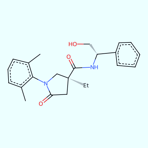 CC[C@]1(C(=O)N[C@H](CO)c2ccccc2)CC(=O)N(c2c(C)cccc2C)C1